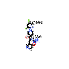 COc1nc(N2CCC(OC)(C(=O)C3CC4CN=CCC4ONN3)CC2)c(F)cc1F